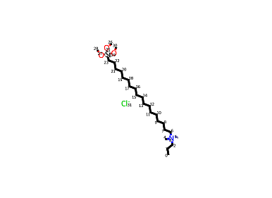 CCC[N+](C)(C)CCCCCCCCCCCCCCCCCC[Si](OC)(OC)OC.[Cl-]